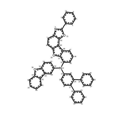 c1ccc(-c2nc3ccc4oc5c(N(c6ccc(-c7ccccc7)c(-c7ccccc7)c6)c6ccc7oc8ccccc8c7c6)cccc5c4c3o2)cc1